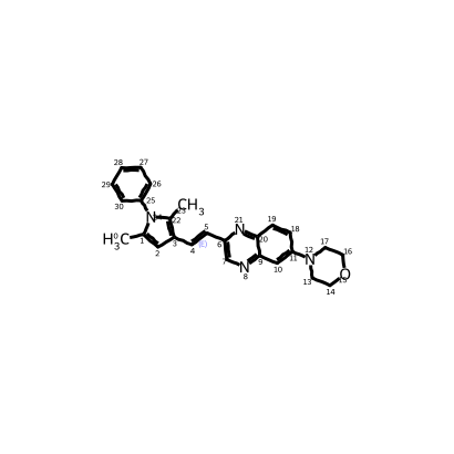 Cc1cc(/C=C/c2cnc3cc(N4CCOCC4)ccc3n2)c(C)n1-c1ccccc1